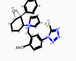 COc1ccc(-n2nnnc2C(F)(F)F)cc1C[N+]1([C@H]2CCC[C@H](C)[C@H]2c2ccccc2)C=CC=C1